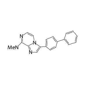 CNc1nccn2c(-c3ccc(-c4ccccc4)cc3)cnc12